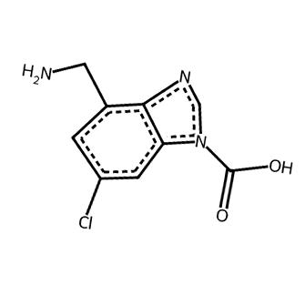 NCc1cc(Cl)cc2c1ncn2C(=O)O